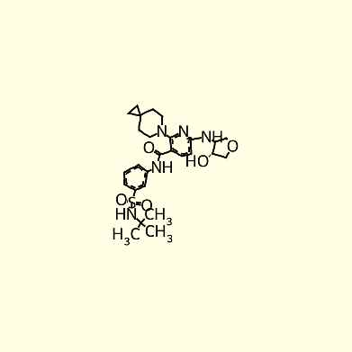 CC(C)(C)NS(=O)(=O)c1cccc(NC(=O)c2ccc(N[C@H]3COC[C@@H]3O)nc2N2CCC3(CC2)CC3)c1